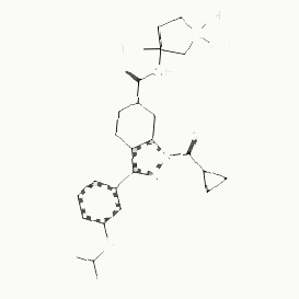 CC1(NC(=O)C2CCc3c(-c4cccc(OC(F)F)c4)nn(C(=O)C4CC4)c3C2)CCS(O)(O)C1